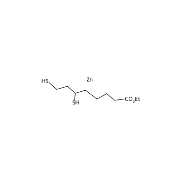 CCOC(=O)CCCCC(S)CCS.[Zn]